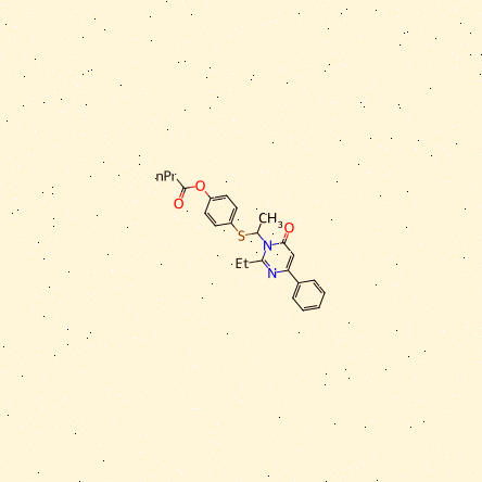 CCCC(=O)Oc1ccc(SC(C)n2c(CC)nc(-c3ccccc3)cc2=O)cc1